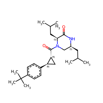 CC(C)C[C@H]1CN(C(=O)[C@@H]2C[C@H]2c2ccc(C(C)(C)C)cc2)[C@@H](CC(C)C)C(=O)N1